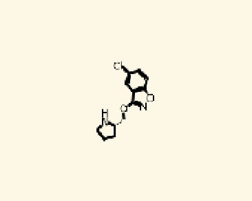 Clc1ccc2onc(OC[C@@H]3CCCN3)c2c1